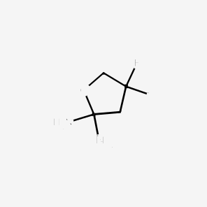 BC1(N)CC(F)(F)CO1